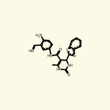 CC1=C(C(=O)Nc2ccc(N)c(C=N)c2)C(c2nc3ccccc3s2)NC(=O)N1